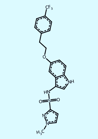 Cn1ccc(S(=O)(=O)Nc2c[nH]c3ccc(OCCc4ccc(C(F)(F)F)cc4)cc23)n1